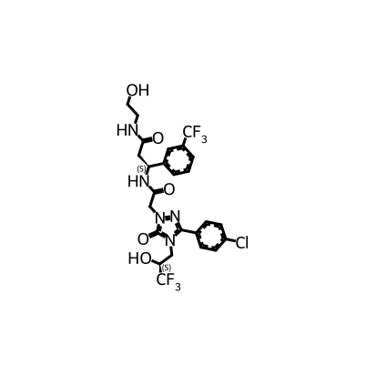 O=C(C[C@H](NC(=O)Cn1nc(-c2ccc(Cl)cc2)n(C[C@H](O)C(F)(F)F)c1=O)c1cccc(C(F)(F)F)c1)NCCO